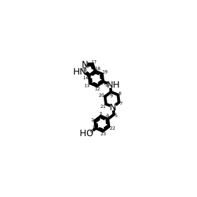 Oc1ccc(CN2CCC(Nc3ccc4[nH]ncc4c3)CC2)cc1